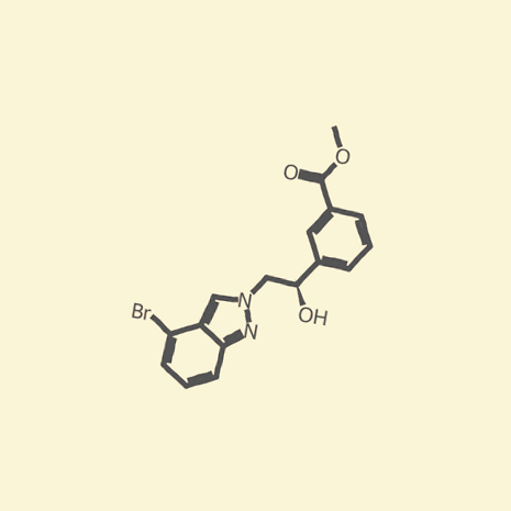 COC(=O)c1cccc([C@@H](O)Cn2cc3c(Br)cccc3n2)c1